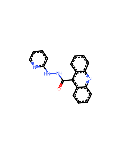 O=C(NNc1ccccn1)c1c2ccccc2nc2ccccc12